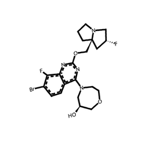 O[C@@H]1COCCN(c2nc(OC[C@@]34CCCN3C[C@H](F)C4)nc3c(F)c(Br)ccc23)C1